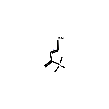 C=C(/C=C/OC)[Si](C)(C)C